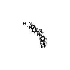 Nc1nc2ccc(-c3ncn(-c4ccc(OC(F)(F)F)cc4)n3)cc2s1